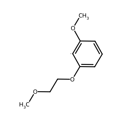 COCCOc1[c]c(OC)ccc1